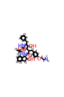 CN(C)CCOc1ccc(CC(CC(O)C(Cc2ccccc2)NC(=O)OC(C)(C)C)C(=O)NC2c3ccccc3CC2O)cc1